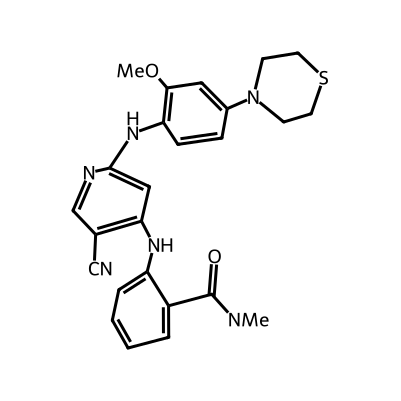 CNC(=O)c1ccccc1Nc1cc(Nc2ccc(N3CCSCC3)cc2OC)ncc1C#N